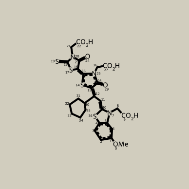 COc1ccc2c(c1)N(CC(=O)O)/C(=C/C(=c1/s/c(=C3\SC(=S)N(CC(=O)O)C3=O)n(CC(=O)O)c1=O)C1CCCCC1)S2